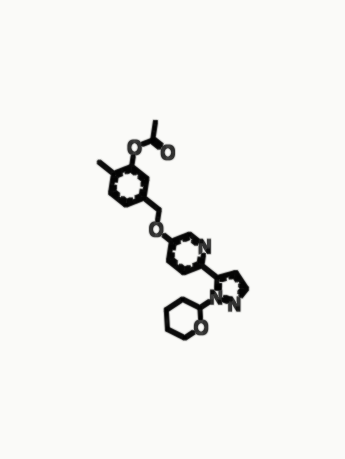 CC(=O)Oc1cc(COc2ccc(-c3ccnn3C3CCCCO3)nc2)ccc1C